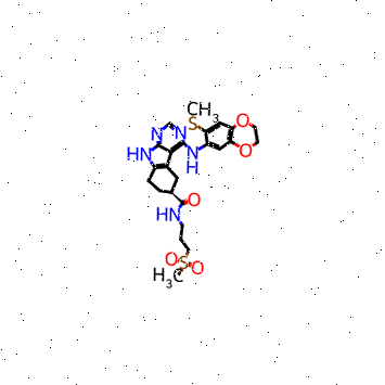 CSc1cc2c(cc1Nc1ncnc3[nH]c4c(c13)C[C@@H](C(=O)NCCCS(C)(=O)=O)CC4)OCCO2